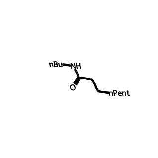 CCCCCCCC(=O)NCCCC